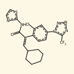 O=C(Nc1nccs1)C(=CC1CCCCC1)c1ccc(-n2nnnc2C(F)(F)F)cc1Cl